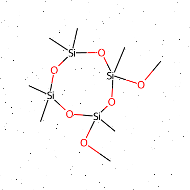 CO[Si]1(C)O[Si](C)(C)O[Si](C)(C)O[Si](C)(OC)O1